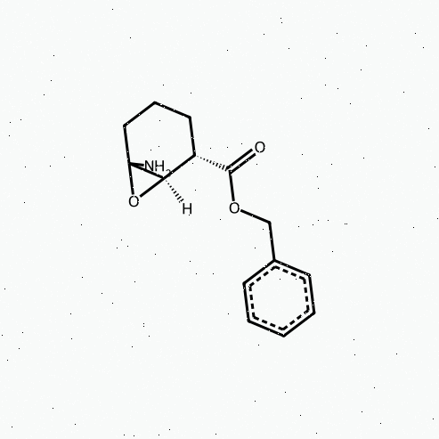 NC12CCC[C@H](C(=O)OCc3ccccc3)[C@H]1O2